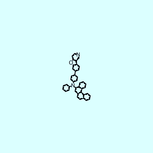 c1ccc(N(c2ccc(-c3ccc4c(c3)oc3ccncc34)cc2)c2cc3ccc4ccccc4c3c3ccccc23)cc1